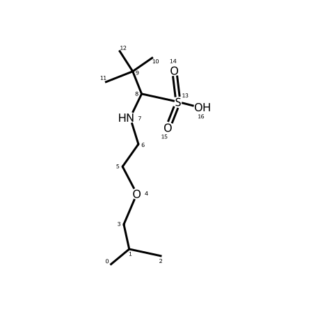 CC(C)COCCNC(C(C)(C)C)S(=O)(=O)O